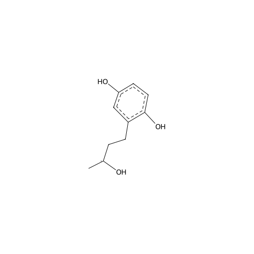 C[C](O)CCc1cc(O)ccc1O